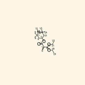 C=C(C(=O)OC1CC(C)(C)N(C)C(C)(C)C1)C(OCC)OCC